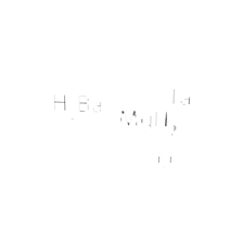 [BaH2].[MgH2].[O]=[Ta]